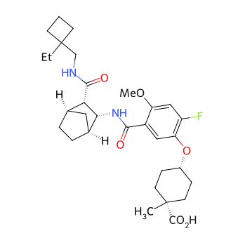 CCC1(CNC(=O)[C@H]2[C@@H]3CC[C@@H](C3)[C@H]2NC(=O)c2cc(O[C@H]3CC[C@@](C)(C(=O)O)CC3)c(F)cc2OC)CCC1